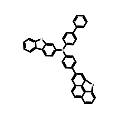 c1ccc(-c2ccc(N(c3ccc(-c4cc5ccc6cccc7oc(c4)c5c67)cc3)c3ccc4c(c3)oc3ccccc34)cc2)cc1